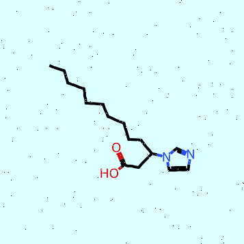 CCCCCCCCCCC(CC(=O)O)n1ccnc1